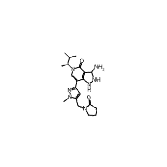 CC(C)[C@H](C)n1cc(-c2cc(CN3CCCC3=O)n(C)n2)c2c(c1=O)C(N)NN2